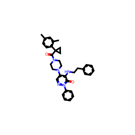 Cc1ccc(C2(C(=O)N3CCN(c4cnn(-c5ccccc5)c(=O)c4NCCc4ccccc4)CC3)CC2)c(C)c1